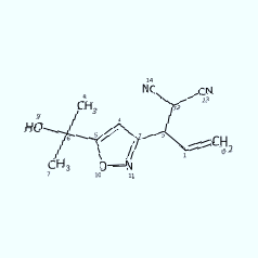 C=CC(c1cc(C(C)(C)O)on1)C(C#N)C#N